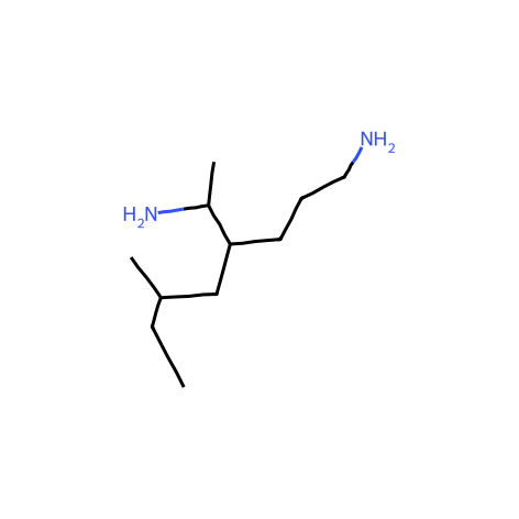 CCC(C)CC(CCCN)C(C)N